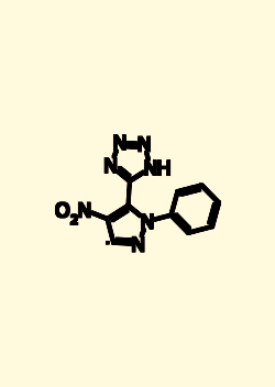 O=[N+]([O-])c1[c]nn(-c2ccccc2)c1-c1nnn[nH]1